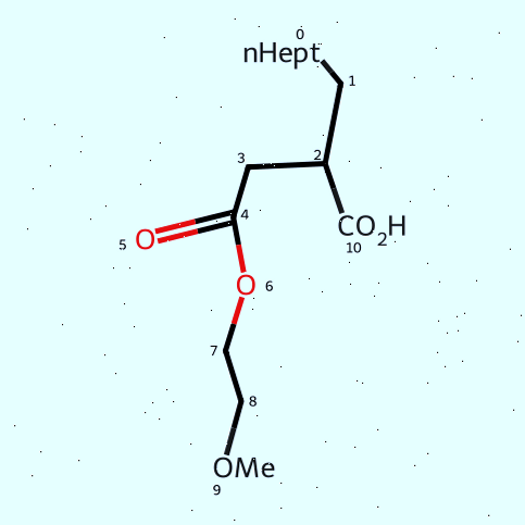 CCCCCCCCC(CC(=O)OCCOC)C(=O)O